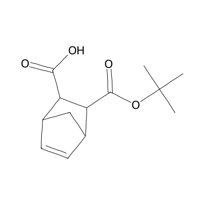 CC(C)(C)OC(=O)C1C2C=CC(C2)C1C(=O)O